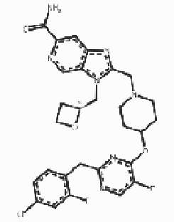 NC(=O)c1cc2nc(CN3CCC(Oc4nc(Cc5ccc(Cl)cc5F)ncc4F)CC3)n(C[C@@H]3CCO3)c2cn1